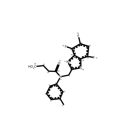 Cc1cccc(N(Cc2nc3c(F)c(F)cc(F)c3s2)C(=O)CCC(=O)O)c1